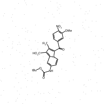 COc1cc(C(=O)c2c(C)c(C(=O)O)c3cc(NC(=O)OC(C)(C)C)ccn23)ccc1[N+](=O)[O-]